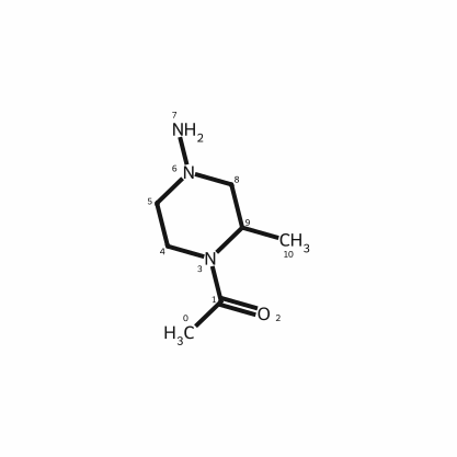 CC(=O)N1CCN(N)CC1C